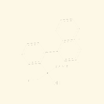 CCCCCCCCC(O)(CCCCCCCC)c1ccccc1-c1cccc2ccccc12